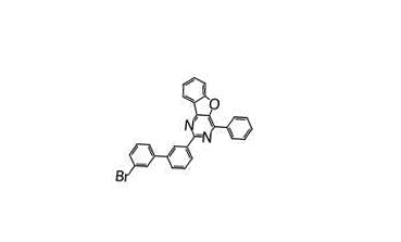 Brc1cccc(-c2cccc(-c3nc(-c4ccccc4)c4oc5ccccc5c4n3)c2)c1